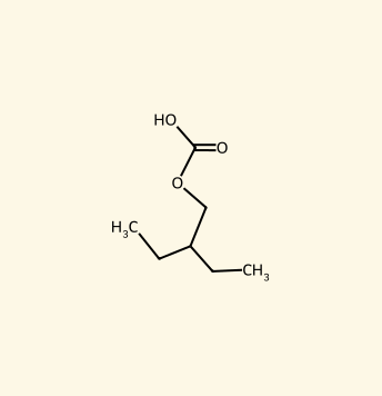 CCC(CC)COC(=O)O